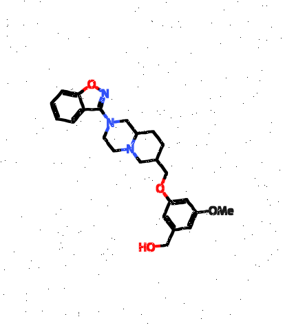 COc1cc(CO)cc(OCC2CCC3CN(c4noc5ccccc45)CCN3C2)c1